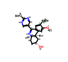 CCOc1cc2c(cc1OC)C(c1cnc(OC)nc1)=N[C@@H]1CC[C@@H](O)C[C@H]21.Cl